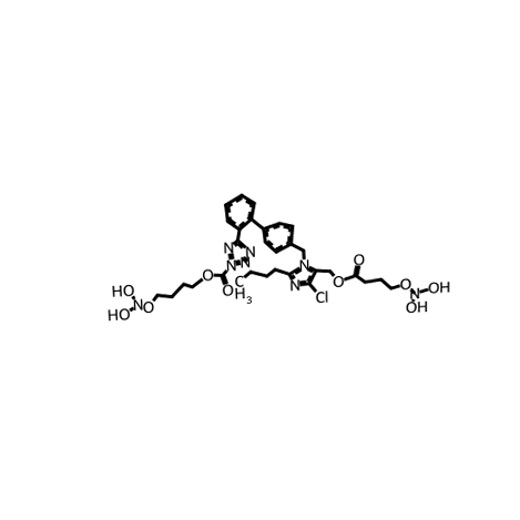 CCCCc1nc(Cl)c(COC(=O)CCCON(O)O)n1Cc1ccc(-c2ccccc2-c2nnn(C(=O)OCCCCON(O)O)n2)cc1